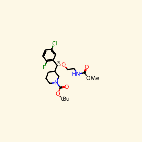 COC(=O)NCCO[C@@H](c1cc(Cl)ccc1F)C1CCCN(C(=O)OC(C)(C)C)C1